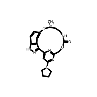 C[C@@H]1CCNC(=O)OCc2nc(cc(N3CCCC3)n2)-c2n[nH]c3ccc(cc23)O1